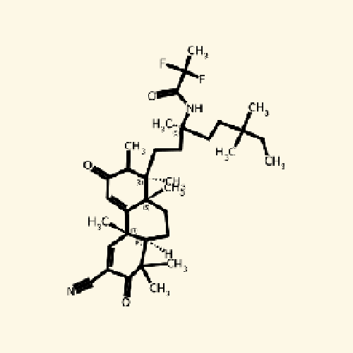 CCC(C)(C)CC[C@@](C)(CC[C@]1(C)C(C)C(=O)C=C2[C@@]3(C)C=C(C#N)C(=O)C(C)(C)[C@@H]3CC[C@]21C)NC(=O)C(C)(F)F